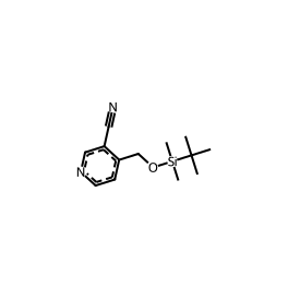 CC(C)(C)[Si](C)(C)OCc1ccncc1C#N